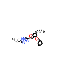 COc1cc(OCc2ccccc2)c2cc(-c3cn4nc(C)cnc4n3)oc2c1